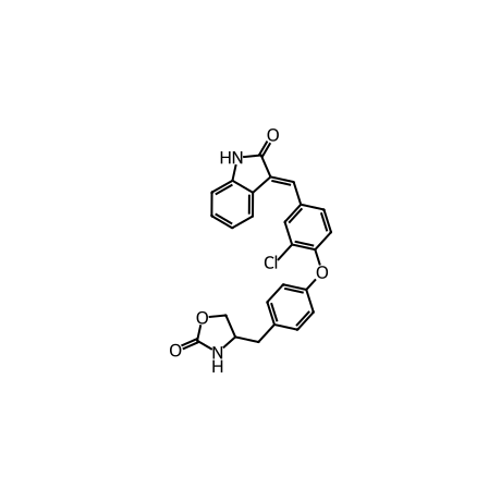 O=C1NC(Cc2ccc(Oc3ccc(/C=C4/C(=O)Nc5ccccc54)cc3Cl)cc2)CO1